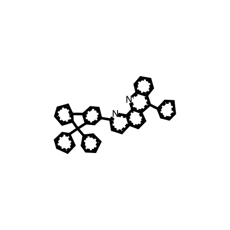 c1ccc(-c2c3ccccc3nc3c2ccc2ccc(-c4ccc5c(c4)C(c4ccccc4)(c4ccccc4)c4ccccc4-5)nc23)cc1